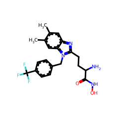 Cc1cc2nc(CCC(N)C(=O)NO)n(Cc3ccc(C(F)(F)F)cc3)c2cc1C